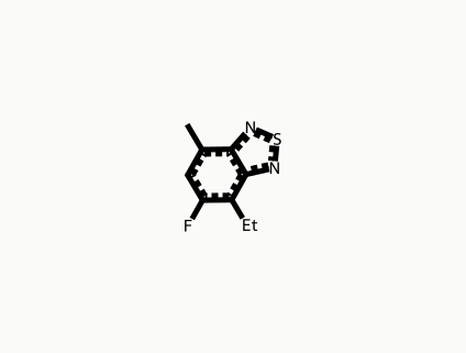 CCc1c(F)cc(C)c2nsnc12